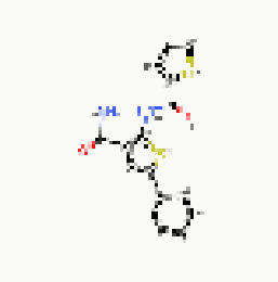 NC(=O)c1cc(-c2ccccc2)sc1NC(=O)c1cccs1